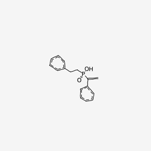 C=C(c1ccccc1)P(=O)(O)CCc1ccccc1